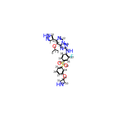 CC(C)Oc1c(-c2cn[nH]c2)ncn2nc(Nc3ccc(S(=O)(=O)c4cccc(OC5CNC5)c4)cc3F)nc12